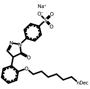 CCCCCCCCCCCCCCCCOc1ccccc1C1C=NN(c2ccc(S(=O)(=O)[O-])cc2)C1=O.[Na+]